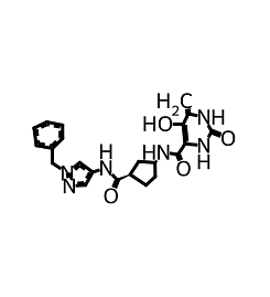 C=C1NC(=O)NC(C(=O)N[C@@H]2CC[C@@H](C(=O)Nc3cnn(Cc4ccccc4)c3)C2)=C1O